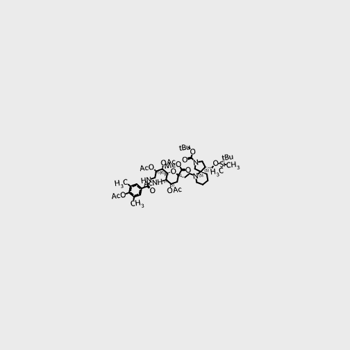 COC(=O)[C@@]1(CCN2CCCC[C@]23CN(C(=O)OC(C)(C)C)C[C@@H]3CO[Si](C)(C)C(C)(C)C)C[C@H](OC(C)=O)[C@@H](NC(C)=O)[C@H]([C@H](OC(C)=O)[C@@H](CNC(=O)c2cc(C)c(OC(C)=O)c(C)c2)OC(C)=O)O1